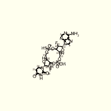 Nc1ncnc2c1ncn2[C@@H]1O[C@@H]2COP(=O)(O)O[C@@H]3[C@H](F)[C@H](n4ccc(=O)[nH]c4=O)O[C@@H]3COP(=O)(S)OC2C1F